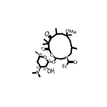 CCC(=O)N1CC(C)CC(C)(OC)CC(C)C(=O)C(C)(C)C(=O)OC(O[C@@H]2O[C@H](C)C[C@H](N(C)C)[C@H]2O)C1